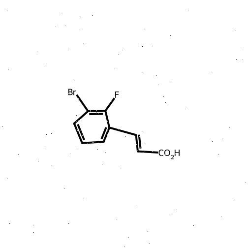 O=C(O)C=Cc1cccc(Br)c1F